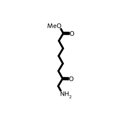 COC(=O)CCCCCC(=O)CN